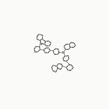 c1ccc(-c2ccc3ccccc3c2)c(-c2ccc(N(c3ccc(-c4ccc(-c5ccccc5-n5c6ccccc6c6ccccc65)cc4)cc3)c3ccc4ccccc4c3)cc2)c1